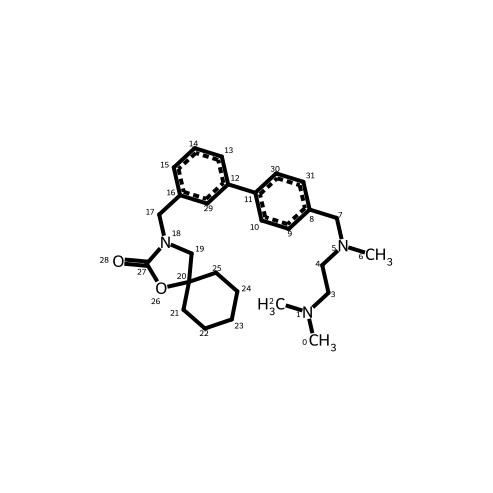 CN(C)CCN(C)Cc1ccc(-c2cccc(CN3CC4(CCCCC4)OC3=O)c2)cc1